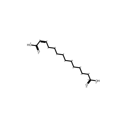 O=C(O)/C=C\CCCCCCCCCCC(=O)O